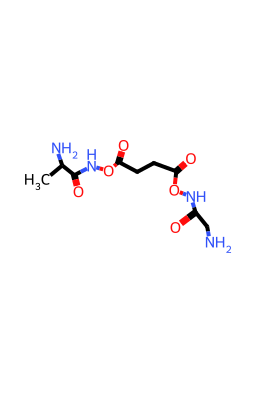 CC(N)C(=O)NOC(=O)CCC(=O)ONC(=O)CN